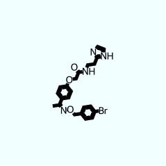 CC(=NOCc1ccc(Br)cc1)c1ccc(OCC(=O)NCCc2ncc[nH]2)cc1